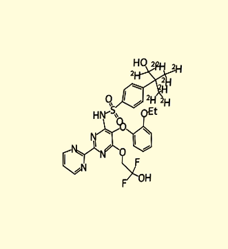 [2H]C([2H])([2H])C(c1ccc(S(=O)(=O)Nc2nc(-c3ncccn3)nc(OCC(O)(F)F)c2Oc2ccccc2OCC)cc1)(C([2H])([2H])[2H])C([2H])([2H])O